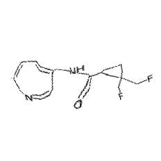 O=C(Nc1cc[c]nc1)C1CC1(F)F